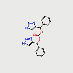 O=C(OC(c1ccccc1)c1c[nH]nn1)OC(c1ccccc1)c1c[nH]nn1